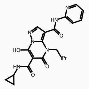 CC(C)Cn1c(=O)c(C(=O)NC2CC2)c(O)n2ncc(C(=O)Nc3ccccn3)c12